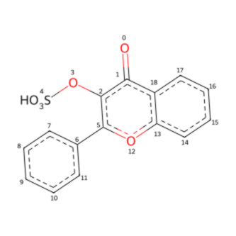 O=c1c(OS(=O)(=O)O)c(-c2ccccc2)oc2ccccc12